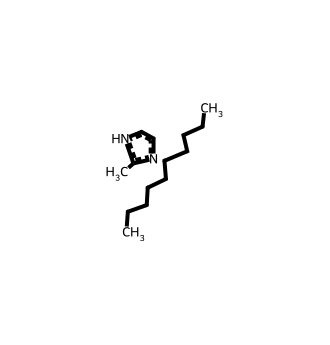 CCCCCCCCCC.Cc1ncc[nH]1